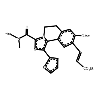 CCOC(=O)C=Cc1cc2c(cc1OC)CCn1c(C(=O)N(C)C(C)(C)C)nc(-c3cccs3)c1-2